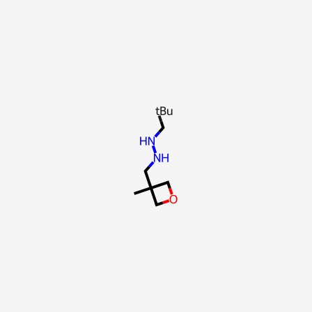 CC(C)(C)CNNCC1(C)COC1